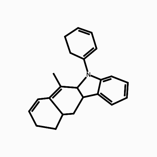 CC1=C2C=CCCC2CC2c3ccccc3N(C3=CC=CCC3)C12